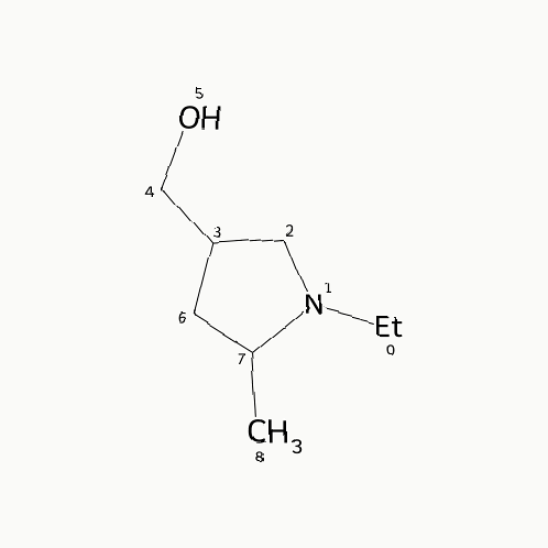 CCN1CC(CO)CC1C